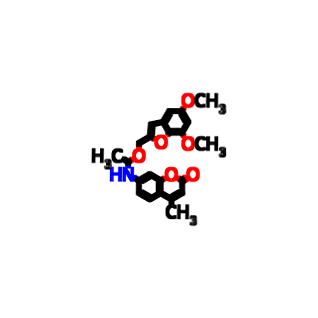 COc1cc(OC)c2oc(COC(C)Nc3ccc4c(C)cc(=O)oc4c3)cc2c1